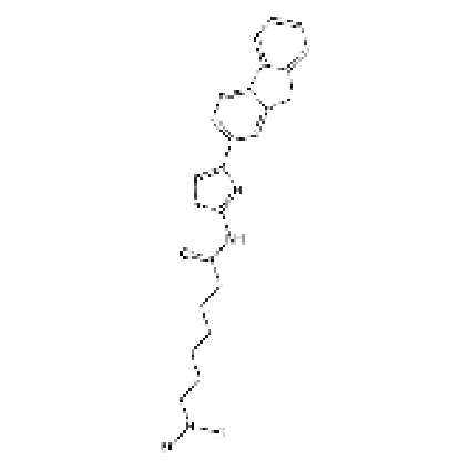 CCN(CC)CCCCCCC(=O)Nc1nc(-c2ccc3c(c2)Cc2ccccc2-3)cs1